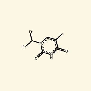 CCC(CC)n1cc(C)c(=O)[nH]c1=O